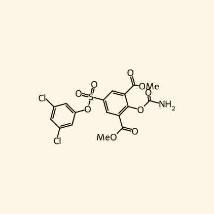 COC(=O)c1cc(S(=O)(=O)Oc2cc(Cl)cc(Cl)c2)cc(C(=O)OC)c1OC(N)=O